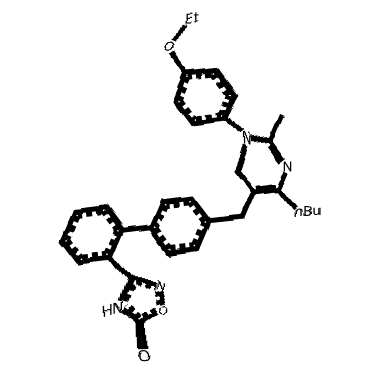 CCCCC1=C(Cc2ccc(-c3ccccc3-c3noc(=O)[nH]3)cc2)CN(c2ccc(OCC)cc2)C(C)=N1